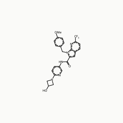 COc1ccc(Cn2c(C(=O)Nc3ccc(N4CC(O)C4)nc3)cc3ccc(C(F)(F)F)nc32)cc1